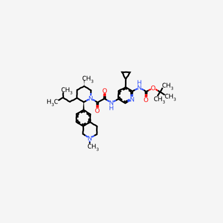 CC(C)CC1C[C@H](C)CN(C(=O)C(=O)Nc2cnc(NC(=O)OC(C)(C)C)c(C3CC3)c2)[C@H]1c1ccc2c(c1)CCN(C)C2